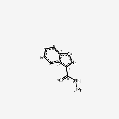 CC(C)NC(=O)c1noc2ccccc12